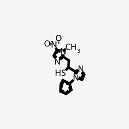 Cn1c([N+](=O)[O-])cnc1CC(S)c1nccn1-c1ccccc1